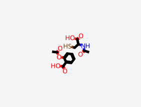 CC(=O)NC(CS)C(=O)O.CC(=O)Oc1ccccc1C(=O)O